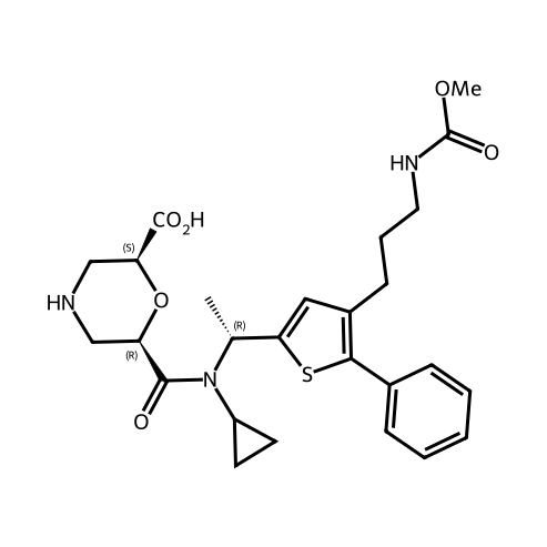 COC(=O)NCCCc1cc([C@@H](C)N(C(=O)[C@H]2CNC[C@@H](C(=O)O)O2)C2CC2)sc1-c1ccccc1